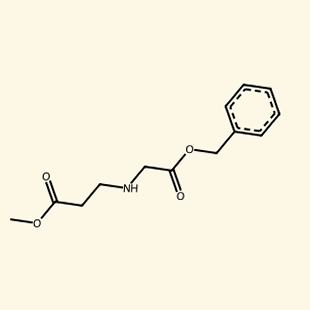 COC(=O)CCNCC(=O)OCc1ccccc1